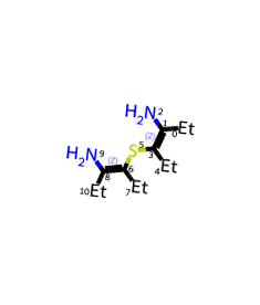 CC/C(N)=C(\CC)S/C(CC)=C(\N)CC